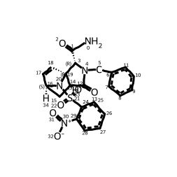 NC(=O)[C@@H]1N(Cc2ccccc2)C(=O)[C@H]2C[C@H]3C=C[C@@]21N3S(=O)(=O)c1ccccc1[N+](=O)[O-]